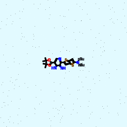 CCCCN(CCCC)c1cc2sc(C3=NC=C(B4OC(C)(C)C(C)(C)O4)C(=N)C3=N)cc2s1